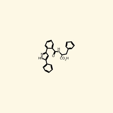 O=C(N[C@@H](Cc1ccccc1)C(=O)O)c1ccccc1-c1cc(-c2ccccc2)[nH]n1